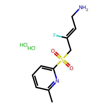 Cc1cccc(S(=O)(=O)C/C(F)=C/CN)n1.Cl.Cl